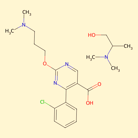 CC(CO)N(C)C.CN(C)CCCOc1ncc(C(=O)O)c(-c2ccccc2Cl)n1